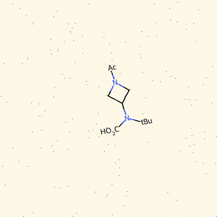 CC(=O)N1CC(N(C(=O)O)C(C)(C)C)C1